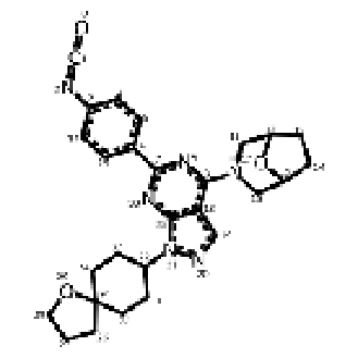 O=C=Nc1ccc(-c2nc(N3CC4CCC(C3)O4)c3cnn(C4CCC5(CCCO5)CC4)c3n2)cc1